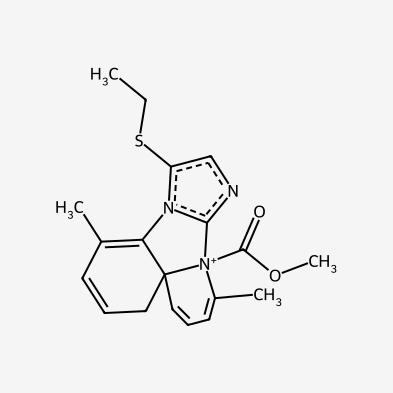 CCSc1cnc2n1C1=C(C)C=CCC13C=CC=C(C)[N+]23C(=O)OC